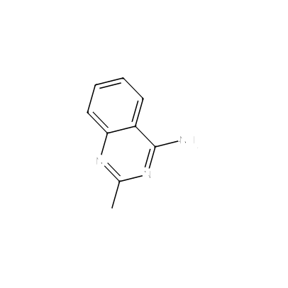 [CH2]c1nc(N)c2ccccc2n1